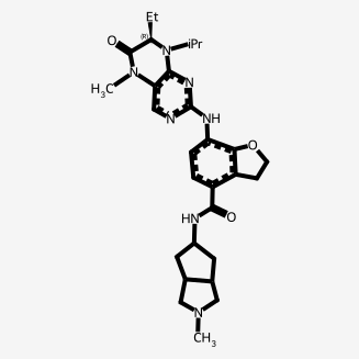 CC[C@@H]1C(=O)N(C)c2cnc(Nc3ccc(C(=O)NC4CC5CN(C)CC5C4)c4c3OCC4)nc2N1C(C)C